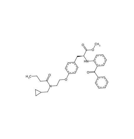 CCCC(=O)N(CCOc1ccc(C[C@H](Nc2ccccc2C(=O)c2ccccc2)C(=O)OC)cc1)CC1CC1